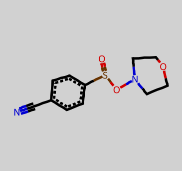 N#Cc1ccc(S(=O)ON2CCOCC2)cc1